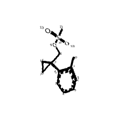 Cc1ccccc1C1(COS(C)(=O)=O)CC1